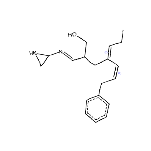 CC/C=C(\C=C/Cc1ccccc1)CC(C=NC1CN1)CO